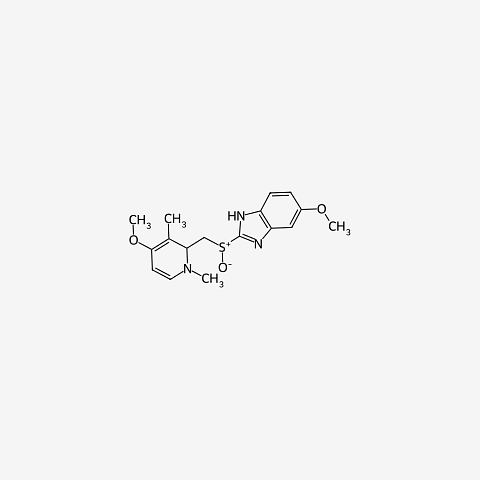 COC1=C(C)C(C[S+]([O-])c2nc3cc(OC)ccc3[nH]2)N(C)C=C1